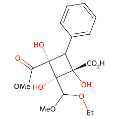 CCOC(OC)[C@@]1(O)[C@@](O)(C(=O)OC)C(c2ccccc2)[C@@]1(O)C(=O)O